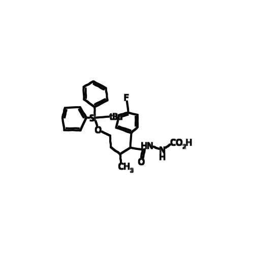 CC(CCO[Si](c1ccccc1)(c1ccccc1)C(C)(C)C)C(C(=O)NNC(=O)O)c1ccc(F)cc1